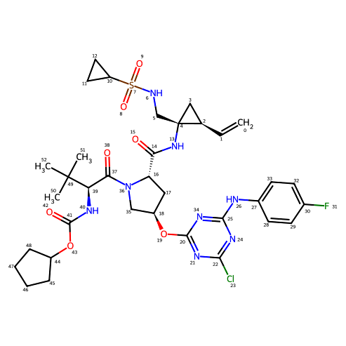 C=C[C@@H]1C[C@@]1(CNS(=O)(=O)C1CC1)NC(=O)[C@@H]1C[C@@H](Oc2nc(Cl)nc(Nc3ccc(F)cc3)n2)CN1C(=O)[C@@H](NC(=O)OC1CCCC1)C(C)(C)C